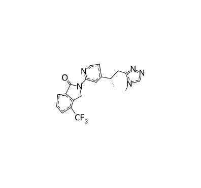 C[C@@H](Cc1nncn1C)c1ccnc(N2Cc3c(cccc3C(F)(F)F)C2=O)c1